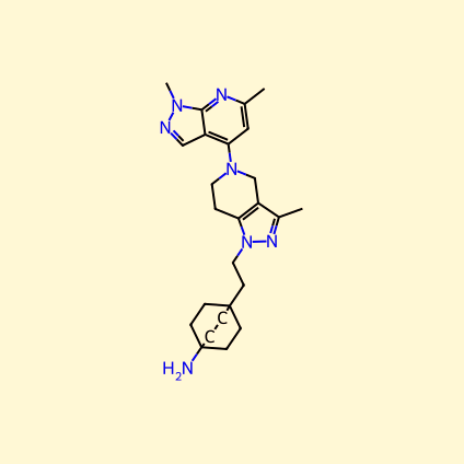 Cc1cc(N2CCc3c(c(C)nn3CCC34CCC(N)(CC3)CC4)C2)c2cnn(C)c2n1